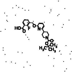 CC(C)(C)OC(=O)N1CCC(c2cccc(OCc3cccc(C(=O)O)c3F)n2)CC1